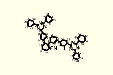 CC1C=C(c2cccc(-c3c(C#N)cccc3-c3ccc(-c4nc(-c5ccccc5)nc(-c5ccccc5)n4)cc3)c2)C=CC1c1nc(-c2ccccc2)nc(-c2ccccc2)n1